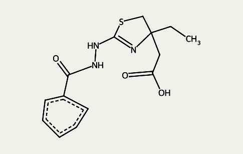 CCC1(CC(=O)O)CSC(NNC(=O)c2ccccc2)=N1